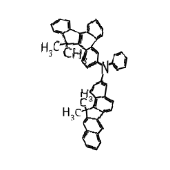 CC1(C)c2cc3ccccc3cc2-c2ccc3cc(N(c4ccccc4)c4ccc5c6c(c7ccccc7c5c4)-c4ccccc4C6(C)C)ccc3c21